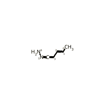 CC=CC=C=NN